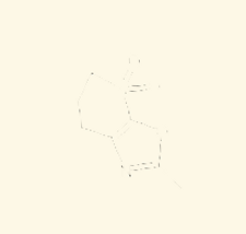 Cc1nc2c(o1)S(=O)(=O)CCC2